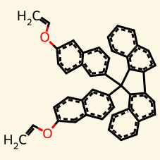 C=COc1ccc2cc(C3(c4ccc5cc(OC=C)ccc5c4)c4c(ccc5ccccc45)-c4ccc5ccccc5c43)ccc2c1